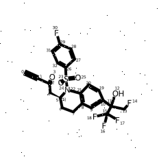 C#CC(=O)C[C@@H]1CCc2cc(C(O)(CF)C(F)(F)F)ccc2N1S(=O)(=O)c1ccc(F)cc1